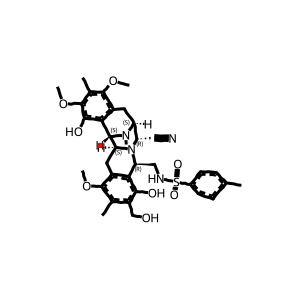 COc1c(C)c(OC)c2c(c1O)[C@H]1[C@@H]3Cc4c(OC)c(C)c(CO)c(O)c4[C@H](CNS(=O)(=O)c4ccc(C)cc4)N3[C@@H](C#N)[C@H](C2)N1C